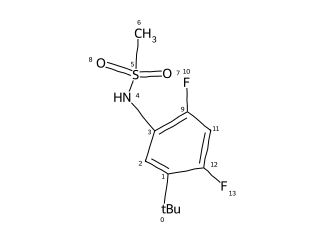 CC(C)(C)c1cc(NS(C)(=O)=O)c(F)cc1F